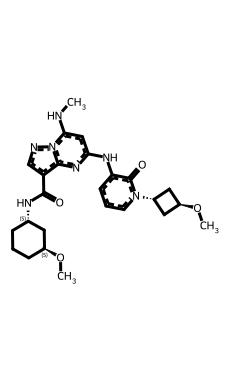 CNc1cc(Nc2cccn([C@H]3C[C@H](OC)C3)c2=O)nc2c(C(=O)N[C@H]3CCC[C@H](OC)C3)cnn12